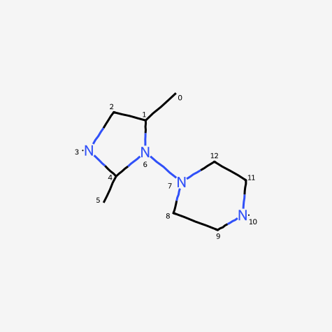 CC1C[N]C(C)N1N1CC[N]CC1